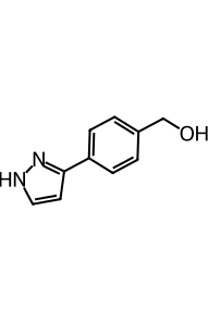 OCc1ccc(-c2cc[nH]n2)cc1